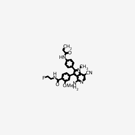 C=CC(=O)Nc1ccc(-c2c(-c3ccc(C(=O)NCCF)c(OC)c3)c3c(N)ncc(C#N)c3n2C)cc1